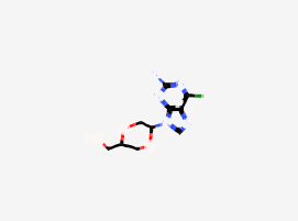 Nc1nc(Cl)c2ncn(C3COC(CO)CO3)c2n1